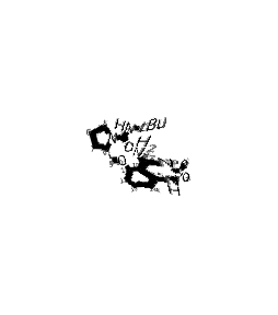 CC(C)(C)NC(=O)N1CCC[C@H]1COc1cccc2c1C(N)=NS(=O)(=O)N2